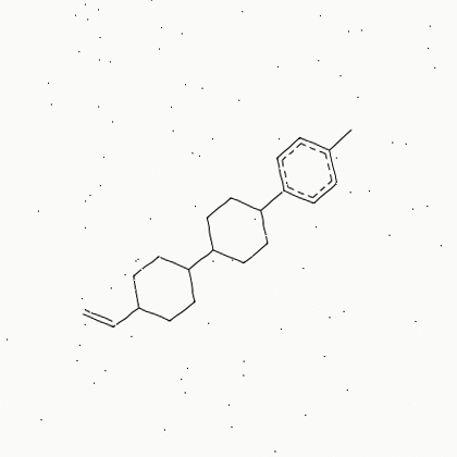 C=CC1CCC(C2CCC(c3ccc(C)cc3)CC2)CC1